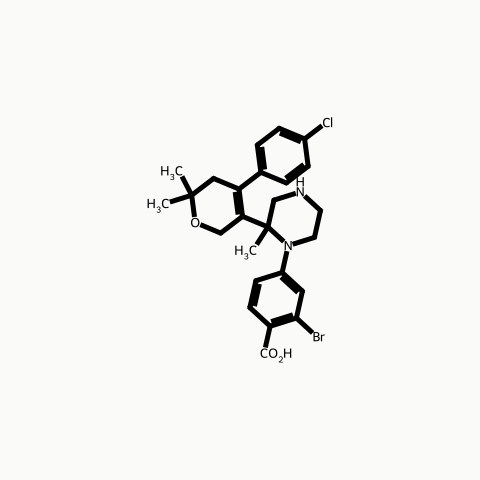 CC1(C)CC(c2ccc(Cl)cc2)=C(C2(C)CNCCN2c2ccc(C(=O)O)c(Br)c2)CO1